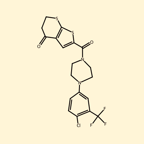 O=C1CCSc2sc(C(=O)N3CCN(c4ccc(Cl)c(C(F)(F)F)c4)CC3)cc21